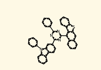 c1ccc(-c2nc(-c3ccc4c5ccccc5n(-c5ccccc5)c4c3)nc(-c3c4ccccc4cc4sc5ccccc5c34)n2)cc1